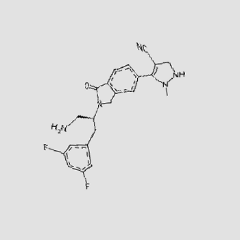 CN1NCC(C#N)=C1c1ccc2c(c1)CN([C@H](CN)Cc1cc(F)cc(F)c1)C2=O